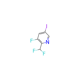 Fc1cc(I)cnc1C(F)F